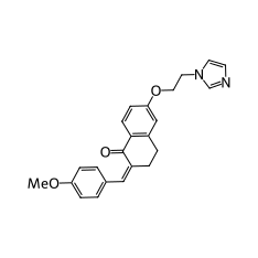 COc1ccc(C=C2CCc3cc(OCCn4ccnc4)ccc3C2=O)cc1